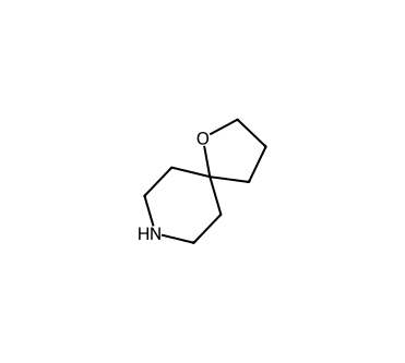 C1COC2(C1)CCNCC2